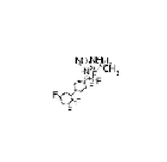 CC(C)C[C@@H](C(N)=O)N(CC#N)[C@@H](c1ccc(-c2cc(F)cc(F)c2F)cc1)C(F)(F)F